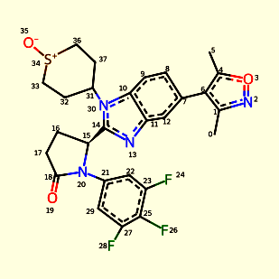 Cc1noc(C)c1-c1ccc2c(c1)nc([C@@H]1CCC(=O)N1c1cc(F)c(F)c(F)c1)n2C1CC[S+]([O-])CC1